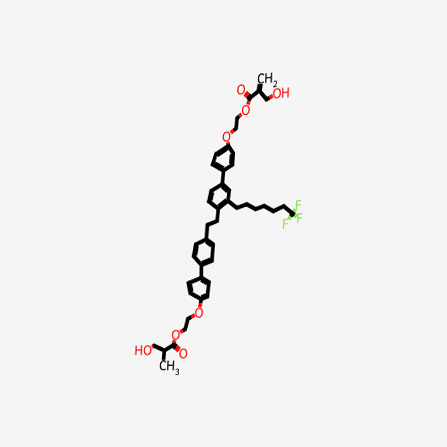 C=C(CO)C(=O)OCCOc1ccc(-c2ccc(CCc3ccc(-c4ccc(OCCOC(=O)C(C)CO)cc4)cc3)c(CCCCCCC(F)(F)F)c2)cc1